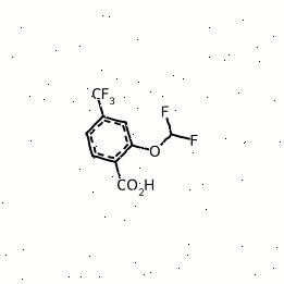 O=C(O)c1ccc(C(F)(F)F)cc1OC(F)F